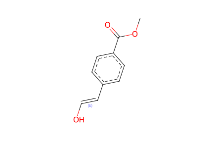 COC(=O)c1ccc(/C=C/O)cc1